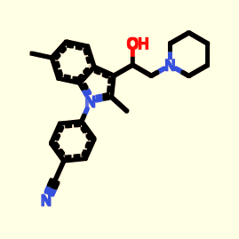 Cc1ccc2c(C(O)CN3CCCCC3)c(C)n(-c3ccc(C#N)cc3)c2c1